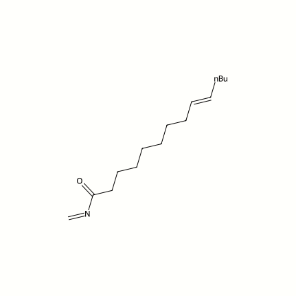 C=NC(=O)CCCCCCCC=CCCCC